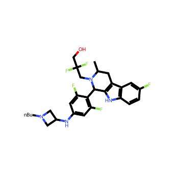 CCCCN1CC(Nc2cc(F)c(C3c4[nH]c5ccc(F)cc5c4CC(C)N3CC(F)(F)CO)c(F)c2)C1